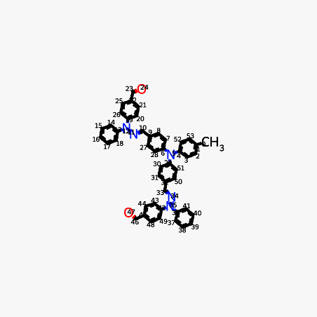 Cc1ccc(N(c2ccc(/C=N/N(c3ccccc3)c3ccc(C=O)cc3)cc2)c2ccc(/C=N/N(c3ccccc3)c3ccc(C=O)cc3)cc2)cc1